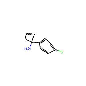 NC1(c2ccc(Cl)cc2)C=CC1